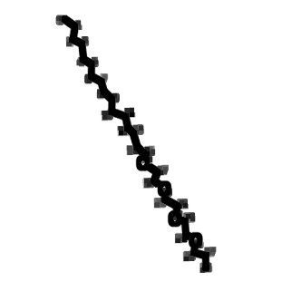 CCCCCCCCCCCCCCCCOCCOCCOCCOCCC